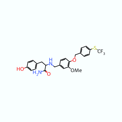 COc1cc(CNC(Cc2ccc(O)cc2)C(N)=O)ccc1OCc1ccc(SC(F)(F)F)cc1